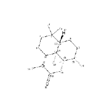 C[C@H]1CC[C@H]2C(C)(C)CCC[C@]2(C)[C@H]1CC(=O)OI